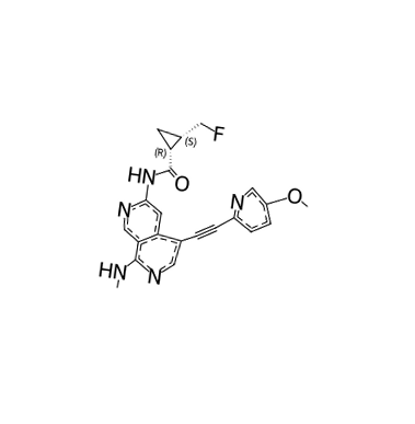 CNc1ncc(C#Cc2ccc(OC)cn2)c2cc(NC(=O)[C@@H]3C[C@@H]3CF)ncc12